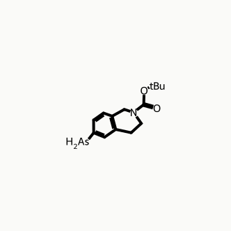 CC(C)(C)OC(=O)N1CCc2cc([AsH2])ccc2C1